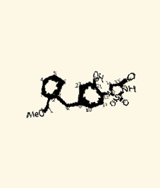 COCc1ccccc1Cc1ccc(N2CC(=O)NS2(=O)=O)c(O)c1